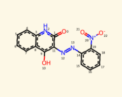 O=c1[nH]c2ccccc2c(O)c1/N=N/c1ccccc1[N+](=O)[O-]